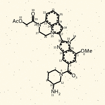 COc1cc(C(=O)N2CCCC(N)C2)cc2nc(-c3cc4cccc5c4n3CCN5C(=O)COC(C)=O)n(C)c12